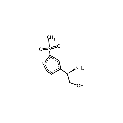 CS(=O)(=O)c1cc([C@@H](N)CO)ccn1